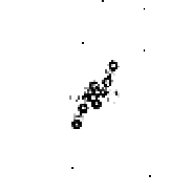 Cc1c(C)n(-c2ccc(-c3nc4c(s3)CCC=C4)cc2)c2c3ccccc3c3c4c(C)c(C)n(-c5ccc(-c6nc7ccccc7s6)cc5)c4c4ccccc4c3c12